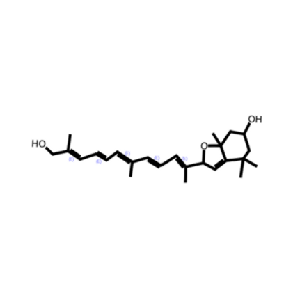 CC(/C=C/C=C(\C)C1C=C2C(C)(C)CC(O)CC2(C)O1)=C\C=C\C=C(/C)CO